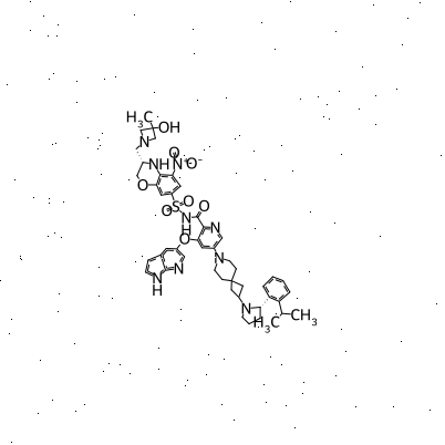 CC(C)c1ccccc1[C@@H]1CCCN1C1CC2(CCN(c3cnc(C(=O)NS(=O)(=O)c4cc5c(c([N+](=O)[O-])c4)N[C@@H](CN4CC(C)(O)C4)CO5)c(Oc4cnc5[nH]ccc5c4)c3)CC2)C1